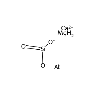 O=[Si]([O-])[O-].[Al].[Ca+2].[MgH2]